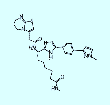 CNC(=O)CCCCC[C@H](NC(=O)CC1=CSC2=NCCCN12)c1ncc(-c2ccc(-c3ccn(C)n3)cc2)[nH]1